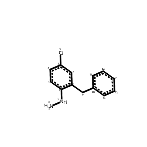 NNc1ccc(Cl)cc1Cc1ccccc1